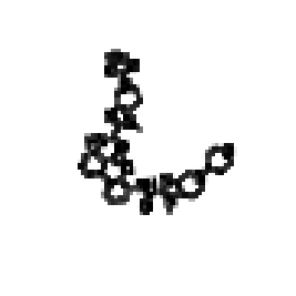 Cn1c(C(=O)Nc2cccc(-c3cccc(NC(=O)c4nc5c(n4C)CCN(C4CCOCC4)C5)c3Cl)c2Cl)nc2c1CCN(C(=O)OC(C)(C)C)C2